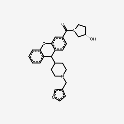 O=C(c1ccc2c(c1)Oc1ccccc1C2C1CCN(Cc2ccoc2)CC1)N1CC[C@H](O)C1